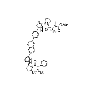 CCN(CC)C(C(=O)N1CCCC1c1ncc(-c2ccc3cc(-c4ccc(-c5cnc([C@@H]6CCCN6C(=O)[C@@H](NC(=O)OC)C(C)C)[nH]5)cc4)ccc3c2)[nH]1)c1ccccc1